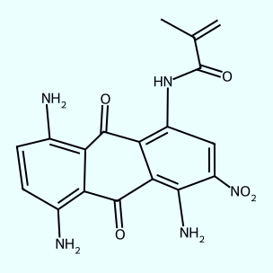 C=C(C)C(=O)Nc1cc([N+](=O)[O-])c(N)c2c1C(=O)c1c(N)ccc(N)c1C2=O